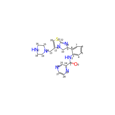 O=C(Nc1ccccc1C1CN2C(CN3CCNCC3)=CSC2=N1)c1cnccn1